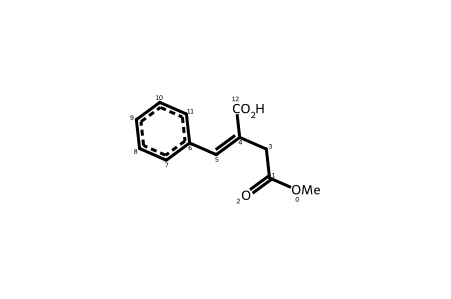 COC(=O)C/C(=C/c1ccccc1)C(=O)O